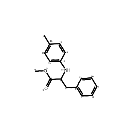 COC(=O)C(Cc1ccccc1)Nc1ccc(C)cc1